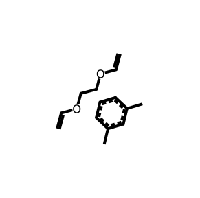 C=COCCOC=C.Cc1cccc(C)c1